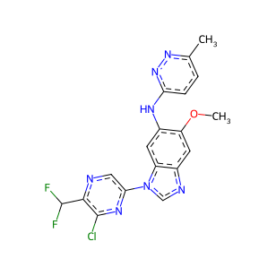 COc1cc2ncn(-c3cnc(C(F)F)c(Cl)n3)c2cc1Nc1ccc(C)nn1